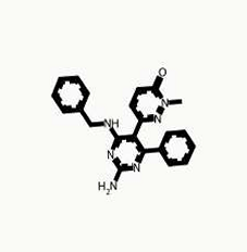 Cn1nc(-c2c(NCc3ccccc3)nc(N)nc2-c2ccccc2)ccc1=O